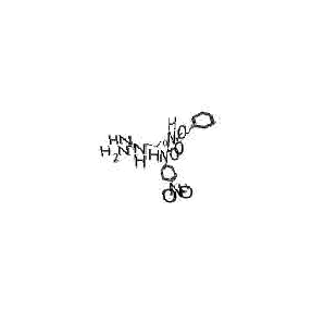 N=C(N)NCCC[C@H](NC(=O)OCc1ccccc1)C(=O)Nc1ccc([N+](=O)[O-])cc1